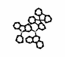 c1ccc(-n2c3ccccc3c3ccc(N(c4cccc5c4-c4ccccc4C54c5ccccc5-c5ccccc54)c4cc5ccccc5c5ccccc45)cc32)cc1